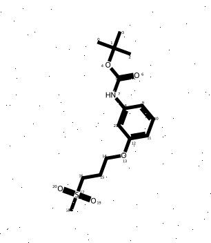 CC(C)(C)OC(=O)Nc1cccc(OCCCS(C)(=O)=O)c1